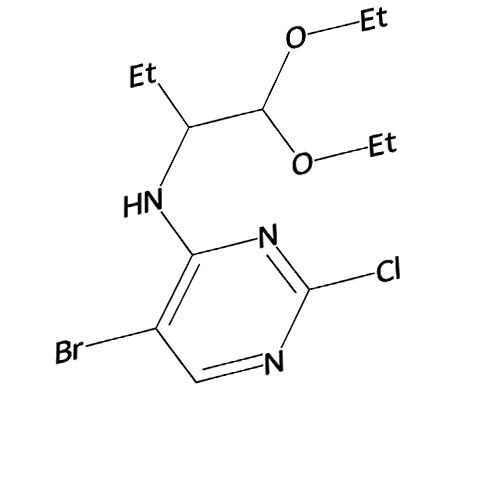 CCOC(OCC)C(CC)Nc1nc(Cl)ncc1Br